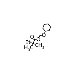 CCC(C)(C)C(=O)OCOC1CCCCC1